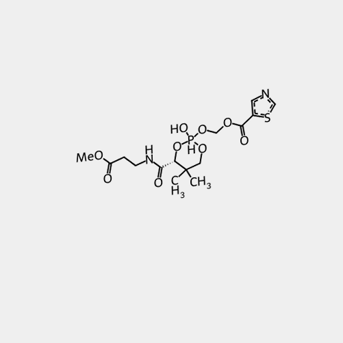 COC(=O)CCNC(=O)[C@@H]1O[PH](O)(OCOC(=O)c2cncs2)OCC1(C)C